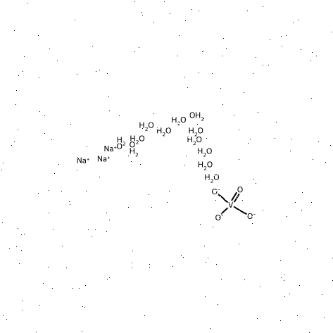 O.O.O.O.O.O.O.O.O.O.O.O.[Na+].[Na+].[Na+].[O]=[V]([O-])([O-])[O-]